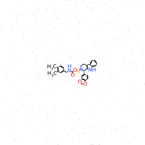 Cc1ccc(CNC(=O)OSN2CCc3c([nH]c4ccccc34)[C@H]2c2ccc3c(c2)OCO3)cc1C